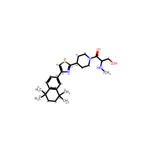 CNC(CO)C(=O)N1CCC(c2nc(-c3ccc4c(c3)C(C)(C)CCC4(C)C)cs2)CC1